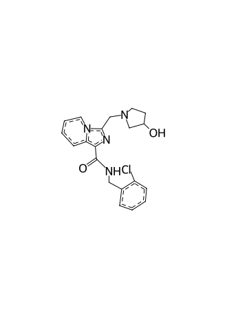 O=C(NCc1ccccc1Cl)c1nc(CN2CCC(O)C2)n2ccccc12